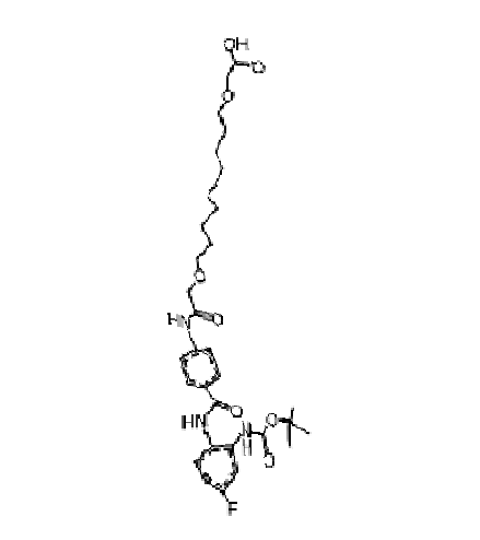 CC(C)(C)OC(=O)Nc1cc(F)ccc1NC(=O)c1ccc(NC(=O)COCCCCCCCCCOCC(=O)O)cc1